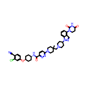 CC1(CN2CCC(n3ncc4c(N5CCC(=O)NC5=O)cccc43)CC2)CCN(c2ccc(C(=O)N[C@H]3CC[C@H](Oc4ccc(C#N)c(Cl)c4)CC3)nn2)CC1